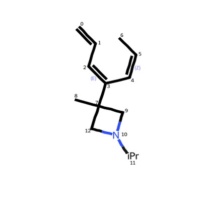 C=C/C=C(\C=C/C)C1(C)CN(C(C)C)C1